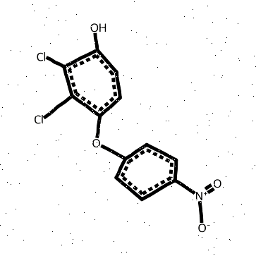 O=[N+]([O-])c1ccc(Oc2ccc(O)c(Cl)c2Cl)cc1